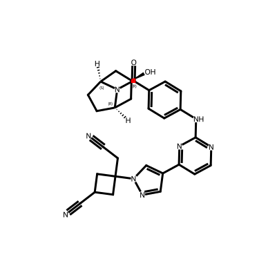 N#CCC1(n2cc(-c3ccnc(Nc4ccc(C(=O)N5[C@@H]6CC[C@H]5C[C@@H](O)C6)cc4)n3)cn2)CC(C#N)C1